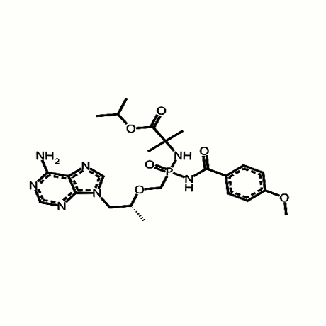 COc1ccc(C(=O)NP(=O)(CO[C@H](C)Cn2cnc3c(N)ncnc32)NC(C)(C)C(=O)OC(C)C)cc1